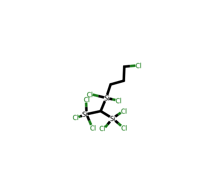 ClCCC[Si](Cl)(Cl)C([Si](Cl)(Cl)Cl)[Si](Cl)(Cl)Cl